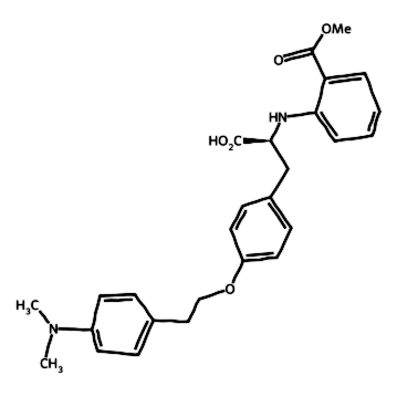 COC(=O)c1ccccc1N[C@@H](Cc1ccc(OCCc2ccc(N(C)C)cc2)cc1)C(=O)O